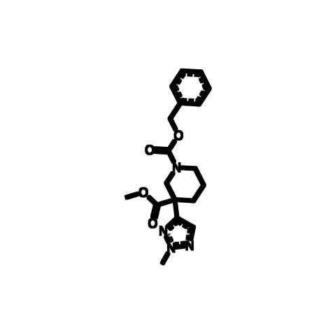 COC(=O)C1(c2cnn(C)n2)CCCN(C(=O)OCc2ccccc2)C1